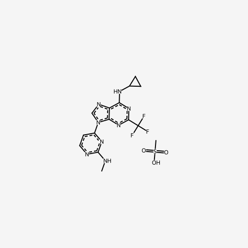 CNc1nccc(-n2cnc3c(NC4CC4)nc(C(F)(F)F)nc32)n1.CS(=O)(=O)O